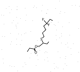 CCC(=O)OCC(CC)SCCCCC(F)(F)CC